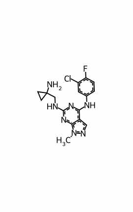 Cn1ncc2c(Nc3ccc(F)c(Cl)c3)nc(NCC3(N)CC3)nc21